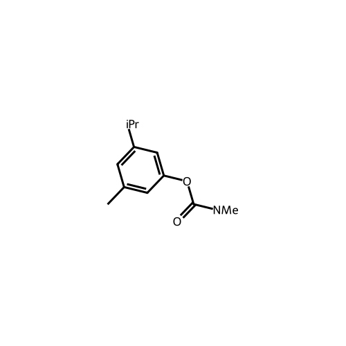 CNC(=O)Oc1cc(C)cc(C(C)C)c1